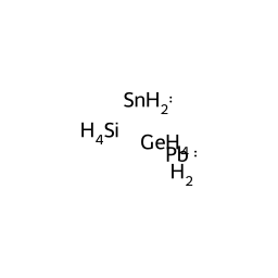 [GeH4].[PbH2].[SiH4].[SnH2]